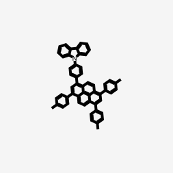 Cc1ccc(-c2cc(-c3ccc(C)cc3)c3ccc4c(-c5ccc(-n6c7ccccc7c7ccccc76)cc5)cc(-c5ccc(C)cc5)c5ccc2c3c54)cc1